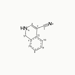 N#CC1=CNCc2ccccc21